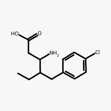 CCC(Cc1ccc(Cl)cc1)C(N)CC(=O)O